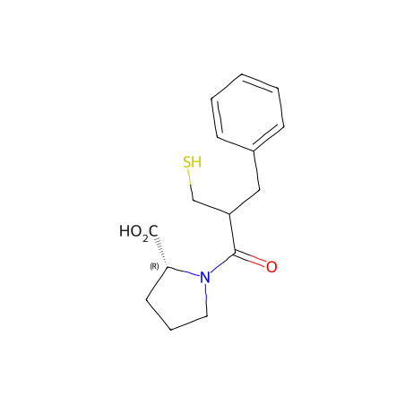 O=C(O)[C@H]1CCCN1C(=O)C(CS)Cc1ccccc1